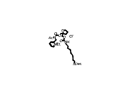 CCCCCCCCCCCCCCCCCCNC(=O)OCC1(COC(=O)N(Cc2cccc[n+]2CC)C(C)=O)CCCO1.[Cl-]